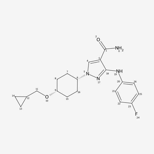 NC(=O)c1cn([C@H]2CC[C@@H](OCC3CC3)CC2)nc1Nc1ccc(F)cc1